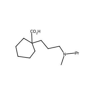 CC(C)N(C)CCCC1(C(=O)O)CCCCC1